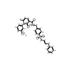 Cc1ccc(C(=O)NCc2ccc(S(=O)(=O)CC=CCc3ccccc3)cc2)c(=O)n1-c1cccc(C(F)(F)F)c1